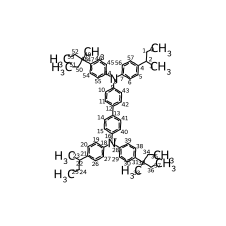 CCC(C)c1ccc(N(c2ccc(-c3ccc(N(c4ccc(C(C)CC)cc4)c4ccc(C(C)(CC)CC)cc4)cc3)cc2)c2ccc(C(C)(CC)CC)cc2)cc1